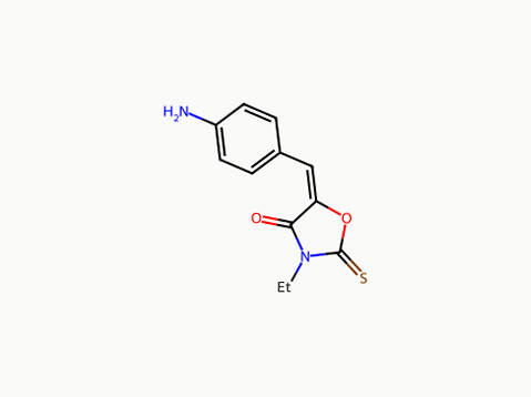 CCN1C(=O)/C(=C\c2ccc(N)cc2)OC1=S